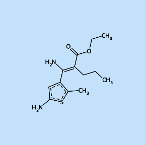 CCC/C(C(=O)OCC)=C(/N)c1cc(N)sc1C